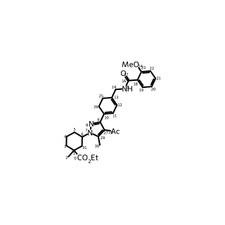 CCOC(=O)C1(C)CCCC(n2nc(C3=CC=C(CNC(=O)c4ccccc4OC)CC3)c(C(C)=O)c2C)C1